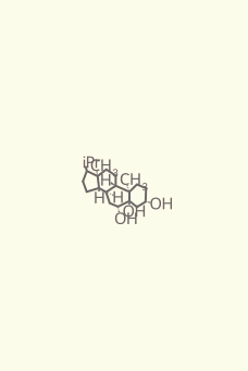 CC(C)C1CC[C@H]2[C@@H]3C[C@@H](O)[C@@]4(O)C[C@@H](O)CC[C@]4(C)[C@H]3CC[C@]12C